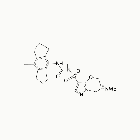 CN[C@H]1COc2c(S(=O)(=O)NC(=O)Nc3c4c(c(C)c5c3CCC5)CCC4)cnn2C1